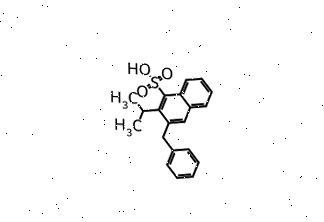 CC(C)c1c(Cc2ccccc2)cc2ccccc2c1S(=O)(=O)O